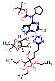 CCOC(O)C(CCCc1nn[nH]n1)(OC[C@H]1O[C@@H](n2ncc3c(N(C(=O)OC(C)(C)C)C4CCCC4)nc(Cl)nc32)[C@@H]2OC(C)(C)O[C@@H]21)P(=O)(OCC)OCC